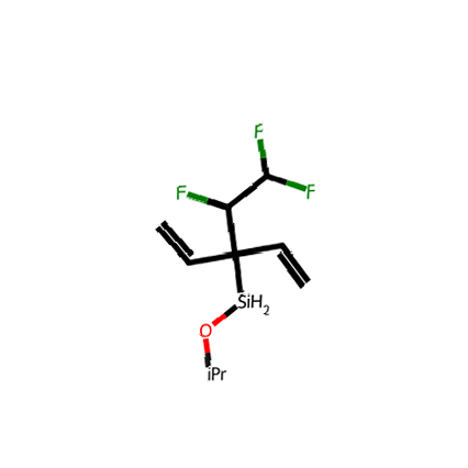 C=CC(C=C)([SiH2]OC(C)C)C(F)C(F)F